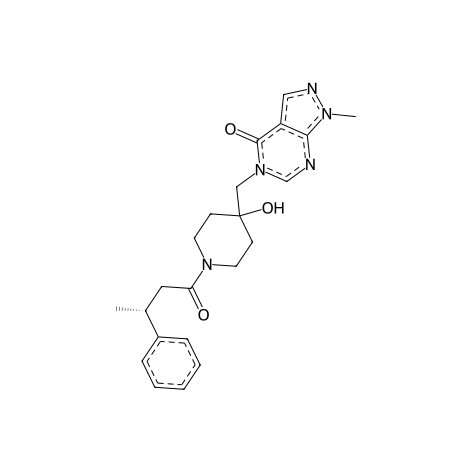 C[C@H](CC(=O)N1CCC(O)(Cn2cnc3c(cnn3C)c2=O)CC1)c1ccccc1